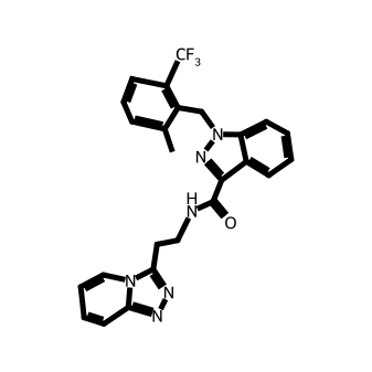 Cc1cccc(C(F)(F)F)c1Cn1nc(C(=O)NCCc2nnc3ccccn23)c2ccccc21